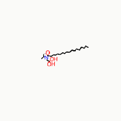 [CH2]C(C)N(CC(O)O)C(=O)CCCCCCCCCCCCCCCCC